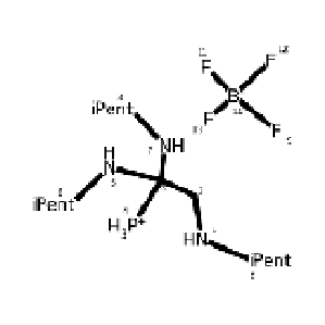 CCCC(C)NCC([PH3+])(NC(C)CCC)NC(C)CCC.F[B-](F)(F)F